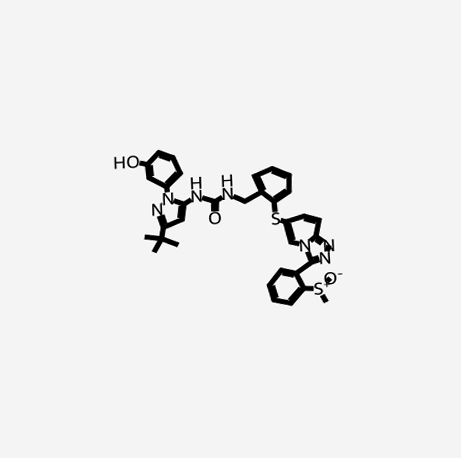 C[S+]([O-])c1ccccc1-c1nnc2ccc(Sc3ccccc3CNC(=O)Nc3cc(C(C)(C)C)nn3-c3cccc(O)c3)cn12